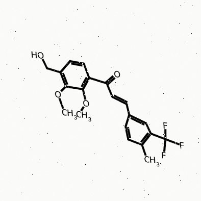 COc1c(CO)ccc(C(=O)/C=C/c2ccc(C)c(C(F)(F)F)c2)c1OC